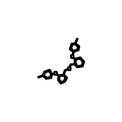 Cc1ccc(Oc2ccccc2COCc2ccccc2Oc2ccc(C)cc2)cc1